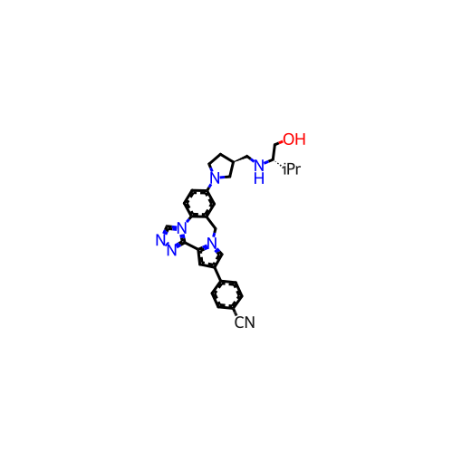 CC(C)[C@@H](CO)NC[C@@H]1CCN(c2ccc3c(c2)Cn2cc(-c4ccc(C#N)cc4)cc2-c2nncn2-3)C1